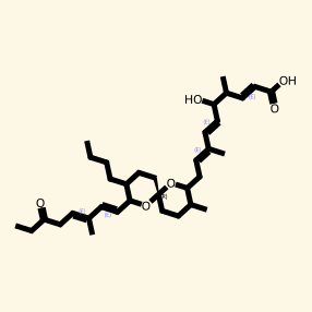 CCCCC1CC[C@@]2(CCC(C)C(C/C=C(C)/C=C/C(O)C(C)/C=C/C(=O)O)O2)OC1/C=C/C(C)=C/CC(=O)CC